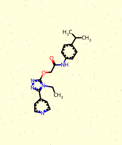 CCn1c(OCC(=O)Nc2ccc(C(C)C)cc2)nnc1-c1ccncc1